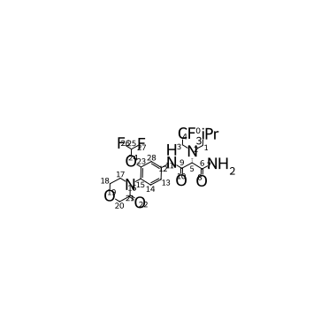 CC(C)CN(CC(F)(F)F)[C@H](C(N)=O)C(=O)Nc1ccc(N2CCOCC2=O)c(OC(F)F)c1